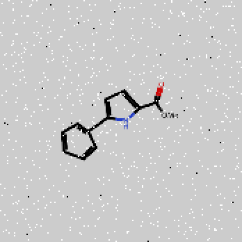 COC(=O)c1ccc(-c2ccccc2)[nH]1